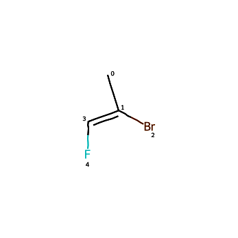 CC(Br)=CF